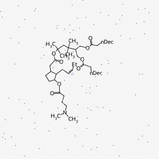 CC/C=C\CC1C(CC(=O)OC(C)(C)CC(C)(C)C(COC(=O)CCCCCCCCCCC)COC(=O)CCCCCCCCCCC)CCC1OC(=O)CCCN(C)C